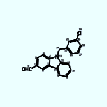 O=Cc1ccc2c(c1)c1ccccc1n2Cc1cccc(Cl)c1